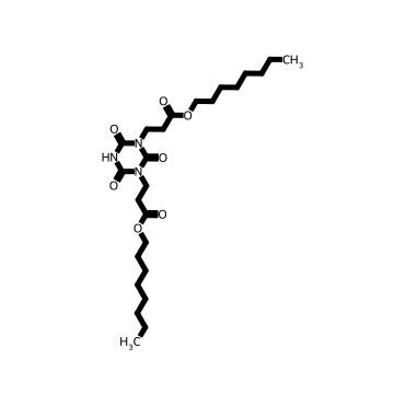 CCCCCCCCOC(=O)CCn1c(=O)[nH]c(=O)n(CCC(=O)OCCCCCCCC)c1=O